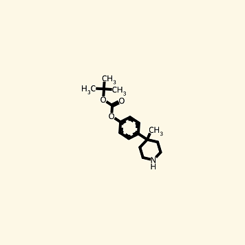 CC(C)(C)OC(=O)Oc1ccc(C2(C)CCNCC2)cc1